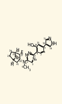 CN(c1cnc(-c2ccc(-c3cn[nH]c3)cc2O)nn1)[C@@H]1C[C@H]2CC[C@H](N2)[C@@H]1F